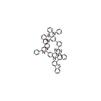 c1ccc(-c2cc(-c3ccccc3)nc(-c3ccc(-n4c5ccccc5c5c6sc7ccccc7c6ccc54)c(-c4nc(-c5ccccc5)nc(-c5cccc(-c6cc7c8c(c6)N(c6ccccc6)c6ccccc6B8c6ccccc6N7c6ccccc6)c5)n4)c3)n2)cc1